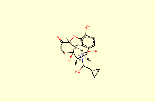 C[N@+]1(C(O)C2CC2)C(O)C[C@]23c4c5ccc(O)c4O[C@H]2C(=O)CC[C@@]3(O)[C@H]1C5